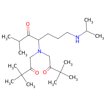 CC(C)NCCCC(C(=O)C(C)C)N(CC(=O)C(C)(C)C)CC(=O)C(C)(C)C